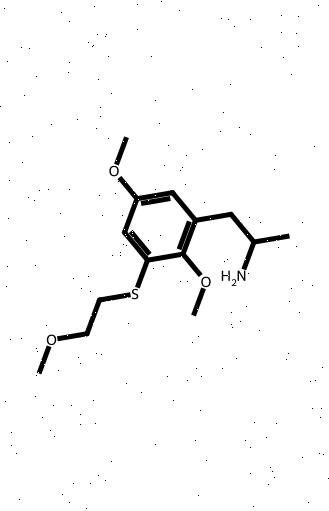 COCCSc1cc(OC)cc(CC(C)N)c1OC